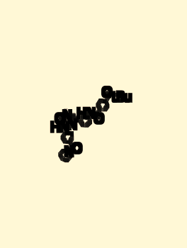 Cc1c(NC(=O)c2ccc(C(=O)C(C)(C)C)cc2)cccc1-c1cn(C)c(=O)c(Nc2ccc(C(=O)N3CCCCC3)cc2)n1